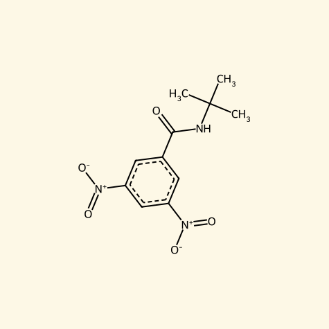 CC(C)(C)NC(=O)c1cc([N+](=O)[O-])cc([N+](=O)[O-])c1